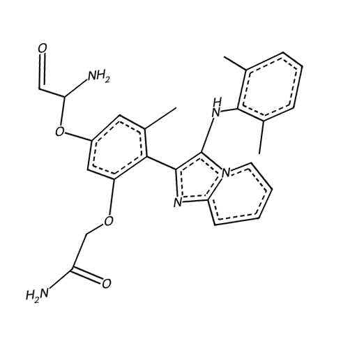 Cc1cccc(C)c1Nc1c(-c2c(C)cc(OC(N)C=O)cc2OCC(N)=O)nc2ccccn12